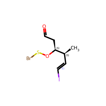 C[C@@H](/C=C/I)[C@H](CC=O)OSBr